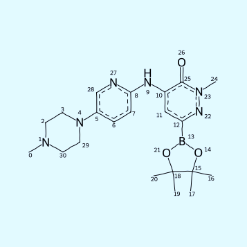 CN1CCN(c2ccc(Nc3cc(B4OC(C)(C)C(C)(C)O4)nn(C)c3=O)nc2)CC1